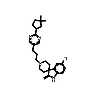 C=C1Nc2ccc(Cl)cc2C12CCN(CCCc1cnc(C3CCC(C)(C)C3)nc1)CC2